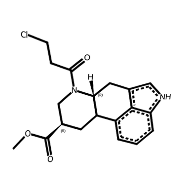 COC(=O)[C@@H]1CC2c3cccc4[nH]cc(c34)C[C@H]2N(C(=O)CCCl)C1